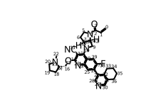 C=CC(=O)N1CC[C@@H]2[C@H]1CN2c1c(C#N)c(OC[C@@H]2CCCN2C)nc2cc(-c3cncc4c3CCCC4)c(F)cc12